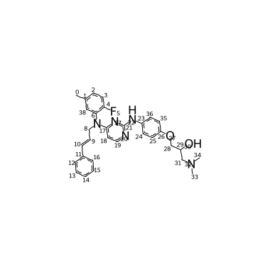 Cc1ccc(F)c(N(CC=Cc2ccccc2)c2ccnc(Nc3ccc(OCC(O)CN(C)C)cc3)n2)c1